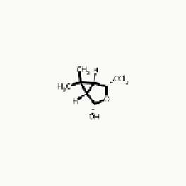 CC1(C)[C@@H]2[C@H]1[C@H](C(Cl)(Cl)Cl)O[C@@H]2O